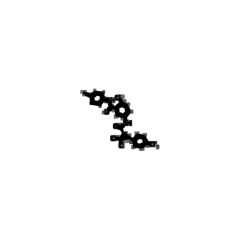 O=C(Nc1ccc(F)cc1)c1cc(NC(=O)[C@@H]2[C@@H](c3ccc(C(F)(F)F)cc3)C2(Cl)Cl)ccc1Cl